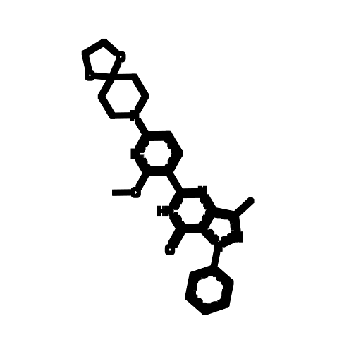 COc1nc(N2CCC3(CC2)OCCO3)ccc1-c1nc2c(C)nn(-c3ccccc3)c2c(=O)[nH]1